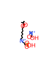 C=C(C)C(=O)OCCCCCCCC[N+](C)(C)CCCS(=O)(=O)O.C[N+](C)(C)CC(=O)O